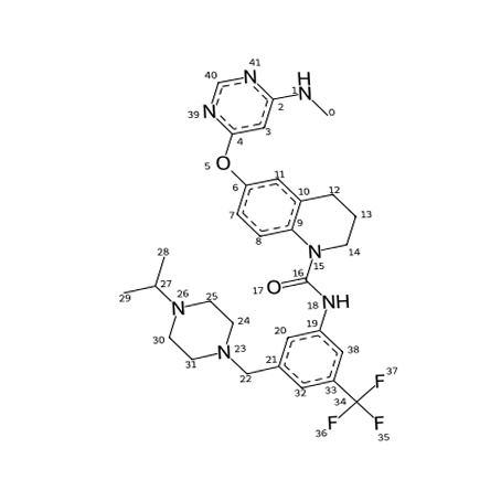 CNc1cc(Oc2ccc3c(c2)CCCN3C(=O)Nc2cc(CN3CCN(C(C)C)CC3)cc(C(F)(F)F)c2)ncn1